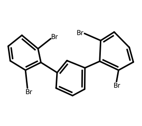 Brc1cccc(Br)c1-c1cccc(-c2c(Br)cccc2Br)c1